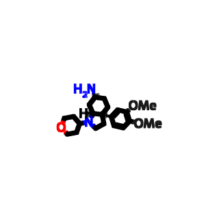 COc1ccc([C@@]23CC[C@@H](N)C[C@@H]2N(C2CCOCC2)CC3)cc1OC